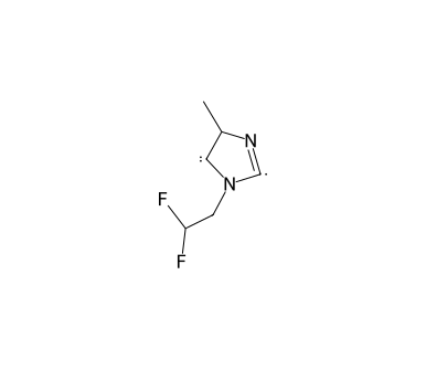 CC1[C]N(CC(F)F)[C]=N1